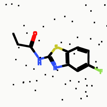 CCC(=O)Nc1nc2cc(F)ccc2s1